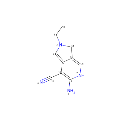 CCN1C=C2C(=CNC(N)=C2C#N)C1